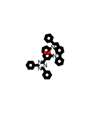 c1ccc(-c2nc(-c3ccccc3)nc(-c3cccc(-n4c5ccccc5c5ccc6cc(-c7ccccc7)n(-c7ccccc7)c6c54)c3)n2)cc1